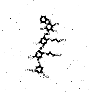 Cc1cc(N=Nc2cc(OCCCS(=O)(=O)O)c(N=Nc3c(C)c(C#N)c4nc5ccccc5n4c3O)cc2C)c(OCCCS(=O)(=O)O)cc1N=Nc1cc(OC=O)cc(OC=O)c1